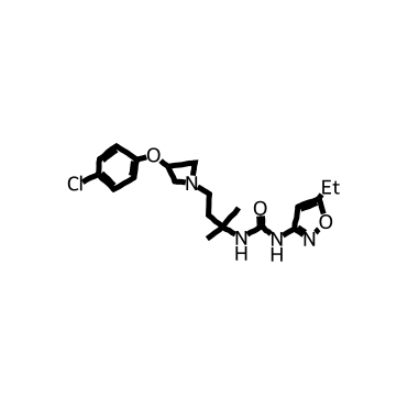 CCc1cc(NC(=O)NC(C)(C)CCN2CC(Oc3ccc(Cl)cc3)C2)no1